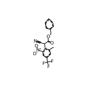 Cc1cc(C(F)(F)F)cc([N+](=O)[O-])c1C(C#N)C(=O)OCc1ccccc1